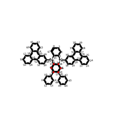 c1ccc(N(c2ccc(-c3ccccc3)cc2)c2ccc3c4ccccc4c4ccccc4c3c2)c(N(c2ccc(-c3ccccc3)cc2)c2ccc3c4ccccc4c4ccccc4c3c2)c#1